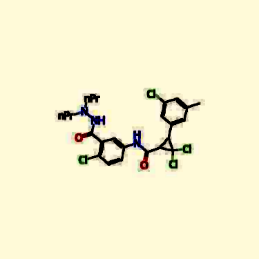 CCCN(CCC)NC(=O)c1cc(NC(=O)C2C(c3cc(C)cc(Cl)c3)C2(Cl)Cl)ccc1Cl